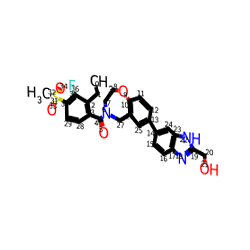 CCc1c(C(=O)N2CCOc3ccc(-c4ccc5nc(CO)[nH]c5c4)cc3C2)ccc(S(C)(=O)=O)c1F